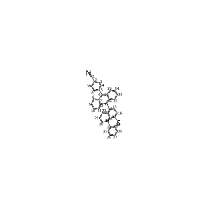 N#Cc1ccc(-c2c3ccccc3c(-c3ccc4c5c(cccc35)-c3ccccc3S4)c3ccccc23)cc1